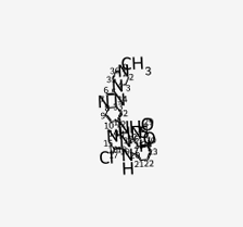 CN1CCN(c2cnc3ccc(Nc4ncc(Cl)c(Nc5ccccc5CN[SH](=O)=O)n4)cc3n2)CC1